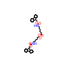 O=C(CCCCCNC(=O)OCC1c2ccccc2-c2ccccc21)OC(=O)CCCCCNC(=O)OCC1c2ccccc2-c2ccccc21